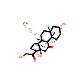 C[C@]12CC[C@@H](O)C[C@H]1CC[C@@H]1[C@@H]2C(=O)C[C@@]2(C)[C@H]1CC[C@]2(O)C(=O)CO.[Cl-].[Cl-].[Cl-].[Cl-].[Zr+4]